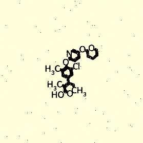 CC/C(=C(/C)C(=O)O)c1cc(C)c(Oc2ccc(OC3CCCCO3)cn2)c(Cl)c1